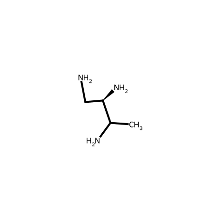 CC(N)[C@H](N)CN